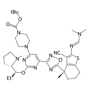 CC[C@H](Oc1nc(-c2noc([C@@]3(C)CCCc4sc(/N=C/N(C)C)c(C#N)c43)n2)cc(N2CCN(C(=O)OC(C)(C)C)CC2)n1)[C@@H]1CCCN1C